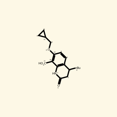 CCCCC1CC(=O)Nc2c1ccc(OCC1CC1)c2C(=O)O